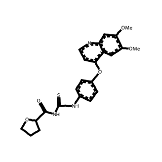 COc1cc2nccc(Oc3ccc(NC(=S)NC(=O)C4CCCO4)cc3)c2cc1OC